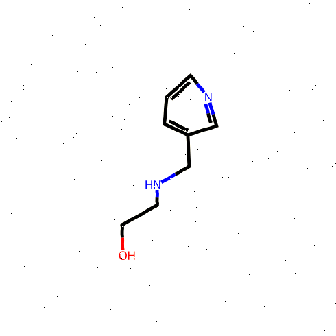 OCCNCc1cccnc1